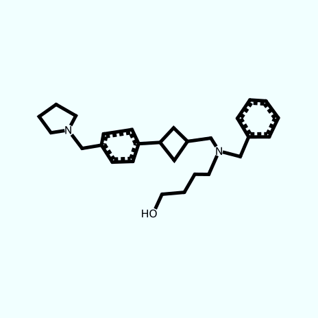 OCCCCN(Cc1ccccc1)CC1CC(c2ccc(CN3CCCC3)cc2)C1